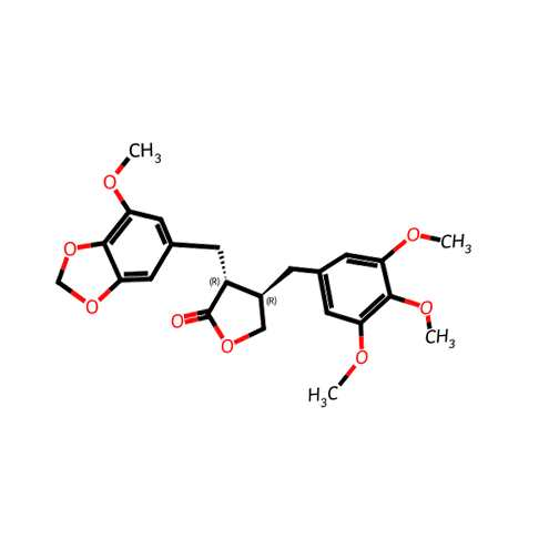 COc1cc(C[C@H]2COC(=O)[C@@H]2Cc2cc(OC)c3c(c2)OCO3)cc(OC)c1OC